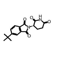 CC(C)(C)c1ccc2c(c1)C(=O)N([C@@H]1CCC(=O)NC1=O)C2=O